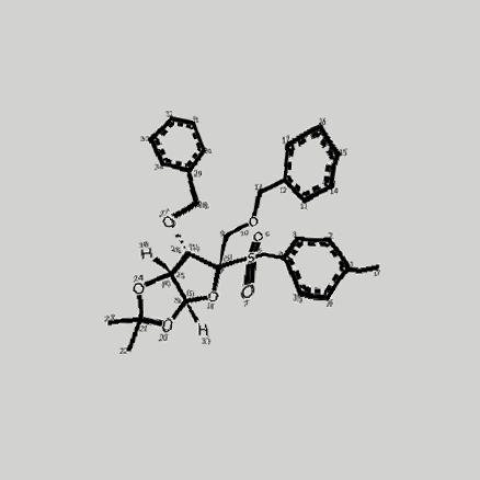 Cc1ccc(S(=O)(=O)[C@]2(COCc3ccccc3)O[C@@H]3OC(C)(C)O[C@@H]3[C@@H]2OCc2ccccc2)cc1